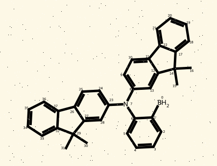 Bc1ccccc1N(c1ccc2c(c1)C(C)(C)c1ccccc1-2)c1ccc2c(c1)C(C)(C)c1ccccc1-2